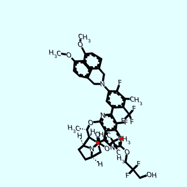 COc1ccc(CN(Cc2ccc(OC)cc2)c2cc(-c3nc4c5c(nc(OCC(F)(F)CO)nc5c3F)N3C[C@H]5CC[C@@H]([C@H]3[C@H](C)O4)N5C(=O)OC(C)(C)C)c(C(F)(F)F)c(C)c2F)cc1